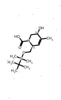 CC1=C[C@@H](CO[Si](C)(C)C(C)(C)C)N(C(=O)O)C[C@H]1O